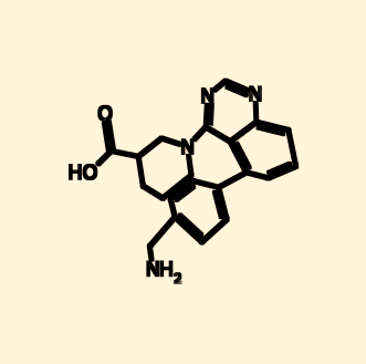 NCc1ccc(-c2cccc3ncnc(N4CCCC(C(=O)O)C4)c23)cc1